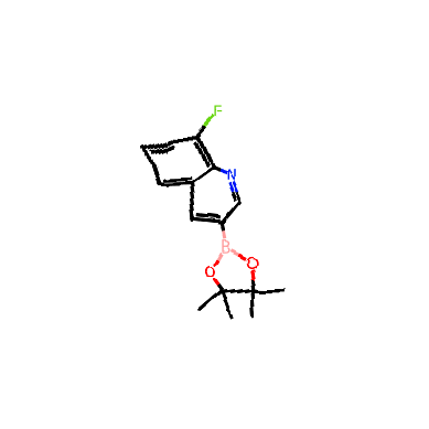 CC1(C)OB(c2cnc3c(F)cccc3c2)OC1(C)C